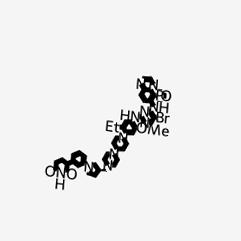 CCc1cc(Nc2ncc(Br)c(Nc3ccc4nccnc4c3P(C)(C)=O)n2)c(OC)cc1N1CCC(N2CCN(C[C@H]3CCN(c4cccc(C5CCC(=O)NC5=O)c4)C3)CC2)CC1